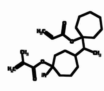 C=CC(=O)OC1(C(C)C2CCCC(OC(=O)C(=C)C)(C(C)C)CC2)CCCCCC1